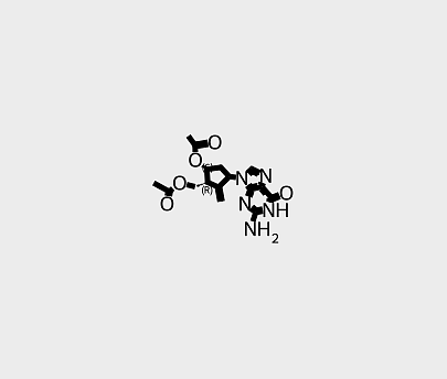 C=C1C(n2cnc3c(=O)[nH]c(N)nc32)C[C@H](OC(C)=O)[C@H]1COC(C)=O